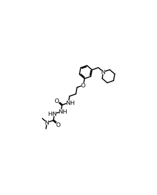 CN(C)C(=O)NNC(=O)NCCCOc1cccc(CN2CCCCC2)c1